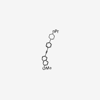 CCCC1CCC(c2ccc(C#Cc3ccc4cc(OC)ccc4c3)cc2)CC1